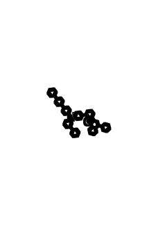 c1ccc(-c2ccc(-c3ccc(N(c4ccc(-c5cccc6c5oc5c7ccccc7c(-c7ccccc7)cc65)cc4)c4cccc(-c5ccccc5)c4)cc3)cc2)cc1